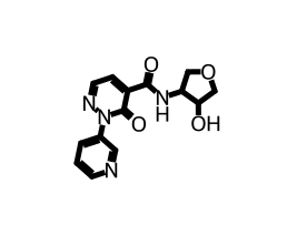 O=C(NC1COCC1O)c1ccnn(-c2cccnc2)c1=O